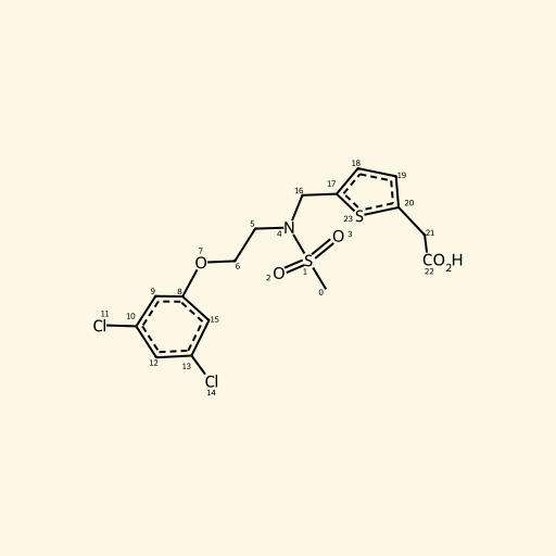 CS(=O)(=O)N(CCOc1cc(Cl)cc(Cl)c1)Cc1ccc(CC(=O)O)s1